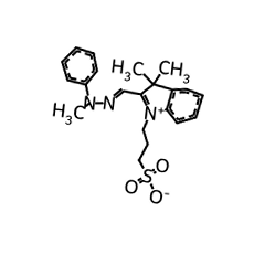 CN(/N=C/C1=[N+](CCCS(=O)(=O)[O-])c2ccccc2C1(C)C)c1ccccc1